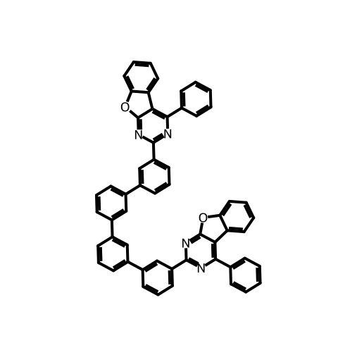 c1ccc(-c2nc(-c3cccc(-c4cccc(-c5cccc(-c6cccc(-c7nc(-c8ccccc8)c8c(n7)oc7ccccc78)c6)c5)c4)c3)nc3oc4ccccc4c23)cc1